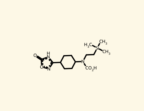 C[Si](C)(C)CCN(C(=O)O)C1CCC(c2noc(=O)[nH]2)CC1